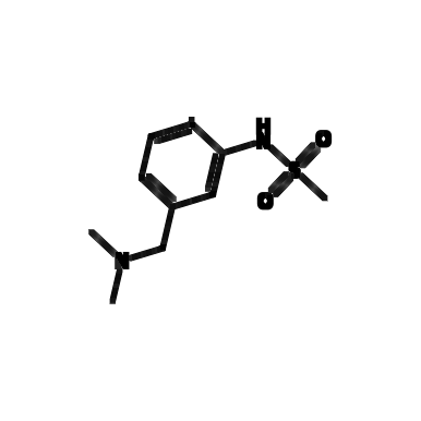 CN(C)Cc1cc[c]c(NS(C)(=O)=O)c1